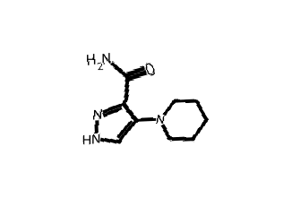 NC(=O)c1n[nH]cc1N1CCCCC1